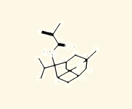 C=C(C)C(=O)NC1(C(C)C)C2CC3CC1CC(C)(C3)C2